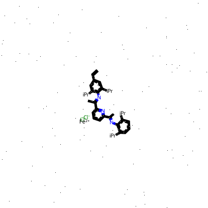 C=Cc1cc(C(C)C)c(/N=C(\C)c2cccc(/C(C)=N/c3c(C(C)C)cccc3C(C)C)n2)c(C(C)C)c1.[Cl-].[Cl-].[Fe+2]